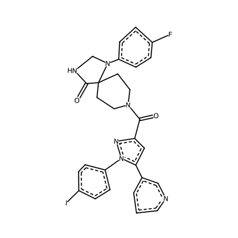 O=C(c1cc(-c2cccnc2)n(-c2ccc(I)cc2)n1)N1CCC2(CC1)C(=O)NCN2c1ccc(F)cc1